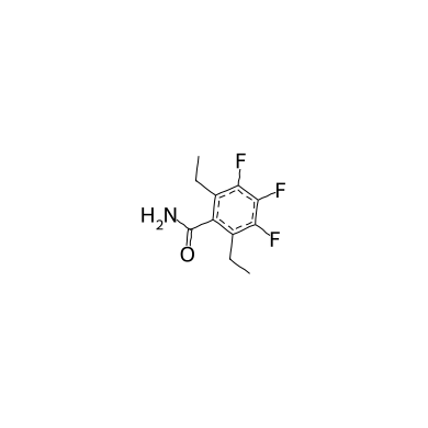 CCc1c(F)c(F)c(F)c(CC)c1C(N)=O